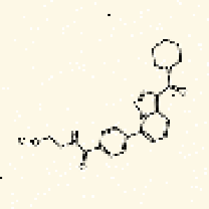 COCCNC(=O)c1ccc(-c2cccc3c(C(=O)N4CCCCC4)cnn23)cc1